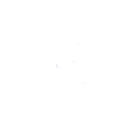 O=C(OCc1ccccc1)C(C(=O)N1CC2C(=O)CCC(c3ccccc3)(c3ccccc3)C2C1)c1ccccc1